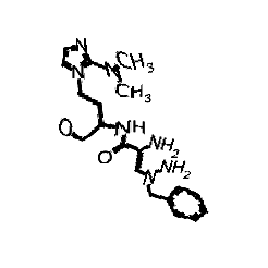 CN(C)c1nccn1CCC(C=O)NC(=O)/C(N)=C/N(N)Cc1ccccc1